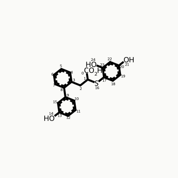 O=C(O)C(Cc1ccccc1-c1cccc(O)c1)Sc1ccc(O)cc1O